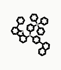 c1ccc(-c2cccc3c2sc2c(N(c4ccc(-c5cccc6ccccc56)cc4)c4cccc([Si](c5ccccc5)(c5ccccc5)c5ccccc5)c4)cccc23)cc1